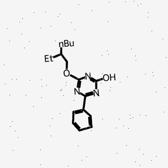 CCCCC(CC)COc1nc(O)nc(-c2ccccc2)n1